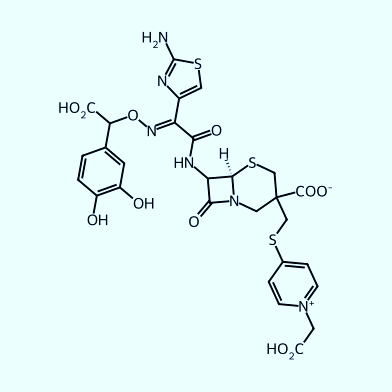 Nc1nc(C(=NOC(C(=O)O)c2ccc(O)c(O)c2)C(=O)NC2C(=O)N3CC(CSc4cc[n+](CC(=O)O)cc4)(C(=O)[O-])CS[C@H]23)cs1